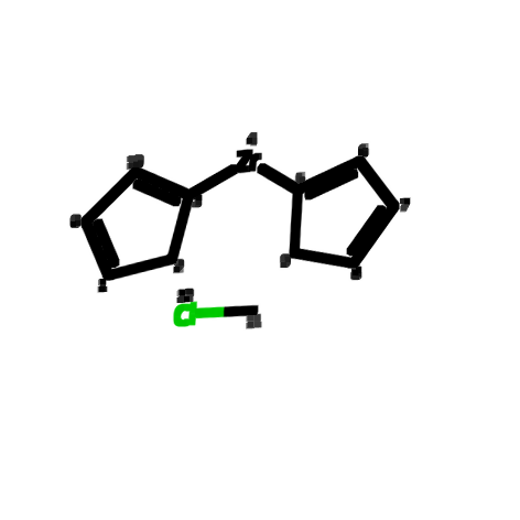 C1=CC[C]([Zr][C]2=CC=CC2)=C1.CCl